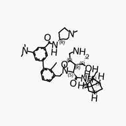 Cc1c(CN2O[C@@H](CN)[C@@H]([C@H](C)O)[C@H]2C(=O)N[C@H]2C[C@H]3C[C@@H]([C@@H]2C)C3(C)C)cccc1-c1cc(C(=O)N[C@@H]2CCN(C)C2)cc(N(C)C)c1